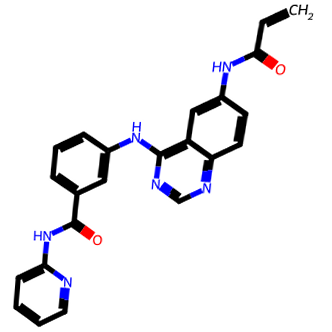 C=CC(=O)Nc1ccc2ncnc(Nc3cccc(C(=O)Nc4ccccn4)c3)c2c1